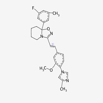 COc1cc(/C=C/C2=NOC3(c4cc(C)cc(F)c4)CCCCN23)ccc1-n1cnc(C)c1